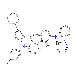 Cc1ccc(N(c2ccc(C3CCCCC3)cc2)c2ccc3ccc4c(N5B6C=CC=CN6c6ccccc65)ccc5ccc2c3c54)cc1